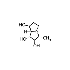 C[C@@H]1[C@@H](O)[C@H](O)[C@H]2[C@@H](O)CCN21